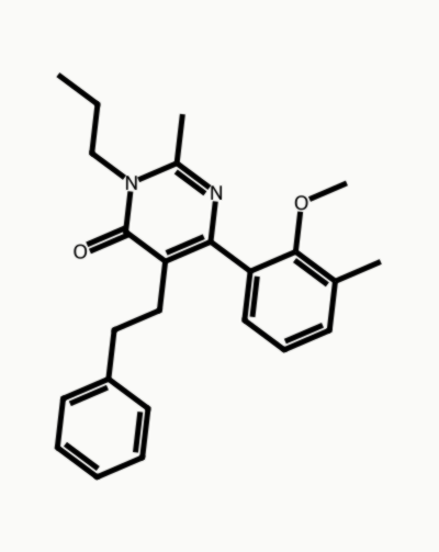 CCCn1c(C)nc(-c2cccc(C)c2OC)c(CCc2ccccc2)c1=O